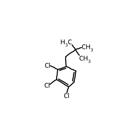 CC(C)(C)Cc1ccc(Cl)c(Cl)c1Cl